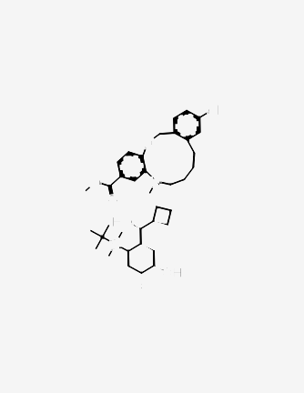 COC(=O)c1ccc2c(c1)N(C[C@@H]1CC[C@H]1[C@H](O)[C@H]1C[C@H](O)[C@H](C)CC1[Si](C)(C)C(C)(C)C)CCCCc1cc(Cl)ccc1CO2